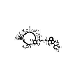 CO[C@H]1/C=C\C=C(/C)C(=O)NC2=CC(=O)C(NCCOC(=O)Nc3cccc4c3C(=O)[C@H](C3CCC(=O)NC3=O)C4=O)=C(C[C@@H](C)C[C@H](OC)[C@@H](O)[C@@H](C)/C=C(\C)[C@@H]1OC(N)=O)C2=O